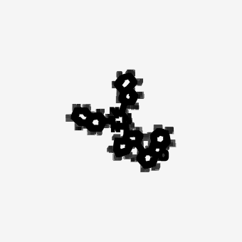 C1=Cc2cc(-c3nc(-c4ccc5ccccc5c4)nc(-c4ccc(-c5cccc6oc7ccccc7c56)c5ccccc45)n3)ccc2CC1